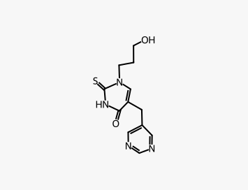 O=c1[nH]c(=S)n(CCCO)cc1Cc1cncnc1